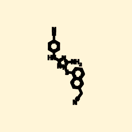 N#CCc1ccc2c(Sn3nc(Nc4ccc(C#N)cc4)nc3N)cccc2c1